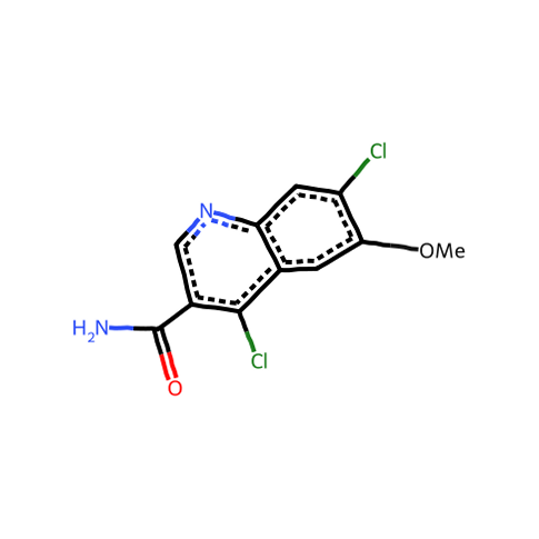 COc1cc2c(Cl)c(C(N)=O)cnc2cc1Cl